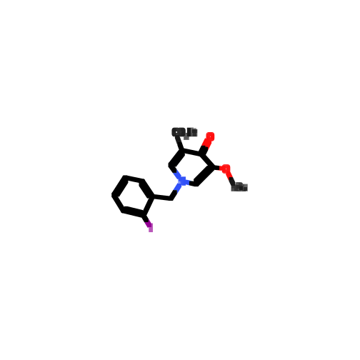 CCCCOc1cn(Cc2ccccc2I)cc(C(=O)OCC)c1=O